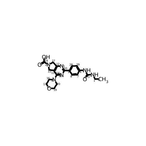 CCNC(=O)Nc1ccc(-c2nc3c(c(N4CCOCC4)n2)CN(C(=O)O)C3)cc1